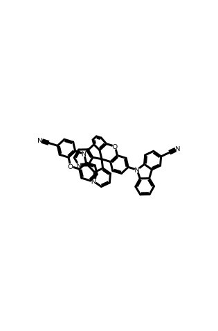 N#Cc1ccc2c(c1)Oc1ccccc1N2c1cccc2c1C1(c3ccc(-n4c5ccccc5c5cc(C#N)ccc54)cc3O2)c2cccnc2-c2ncccc21